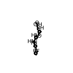 O=C(Nc1ccc(-c2nc(-c3ccc(COc4ccccc4F)cc3)n[nH]2)cc1)c1cccc(CNCC[SH](=O)=O)c1